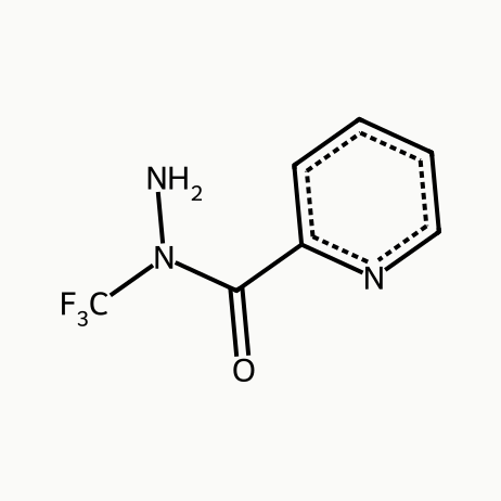 NN(C(=O)c1ccccn1)C(F)(F)F